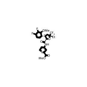 CC[C@]1(C(F)(F)F)C[C@@H](c2ccc(F)c(F)c2OC)[C@H](C(=O)Nc2ccnc(C(=O)OC)c2)O1